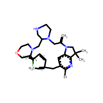 C=C(F)/C=C\C(=C/C)Cc1cc2c(nc1CC)C(C)(C)CN2C(=C)CN1CCNCC1CN1CCOCC1C